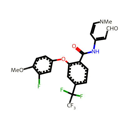 CN/C=C\C(=C/C=O)NC(=O)c1ccc(C(F)(F)C(F)(F)F)cc1Oc1ccc(OC)c(F)c1